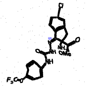 COC(=O)C1(N)Cc2cc(Cl)ccc2/C1=N/NC(=O)Nc1ccc(OC(F)(F)F)cc1